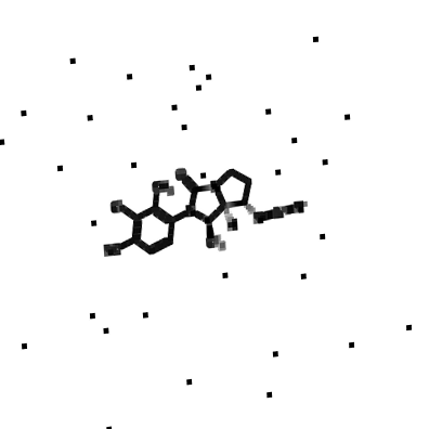 Cc1c(N2C(=O)N3CC[C@H](N=[N+]=[N-])[C@H]3[C@H]2C(F)(F)F)ccc(C#N)c1Cl